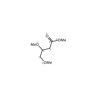 COCC(CC(=O)OC)OC